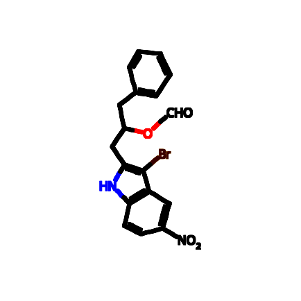 O=COC(Cc1ccccc1)Cc1[nH]c2ccc([N+](=O)[O-])cc2c1Br